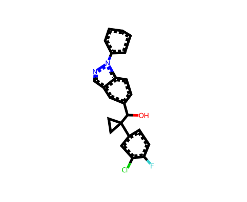 OC(c1ccc2c(cnn2-c2ccccc2)c1)C1(c2ccc(F)c(Cl)c2)CC1